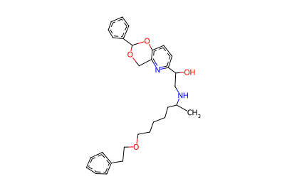 CC(CCCCCOCCc1ccccc1)NCC(O)c1ccc2c(n1)COC(c1ccccc1)O2